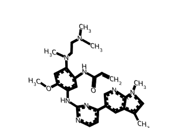 C=CC(=O)Nc1cc(Nc2nccc(-c3cnc4c(c3)c(C)cn4C)n2)c(OC)cc1N(C)CCN(C)C